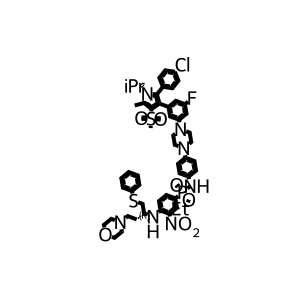 CCOP(=O)(Nc1ccc(N2CCN(c3cc(F)cc(-c4c(S(C)(=O)=O)c(C)n(C(C)C)c4-c4ccc(Cl)cc4)c3)CC2)cc1)c1ccc(N[C@H](CCN2CCOCC2)CSc2ccccc2)c([N+](=O)[O-])c1